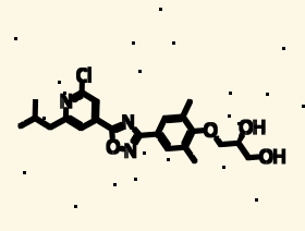 Cc1cc(-c2noc(-c3cc(Cl)nc(CC(C)C)c3)n2)cc(C)c1OC[C@@H](O)CO